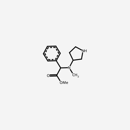 COC(=O)C(c1ccccc1)N(C)C1CCNC1